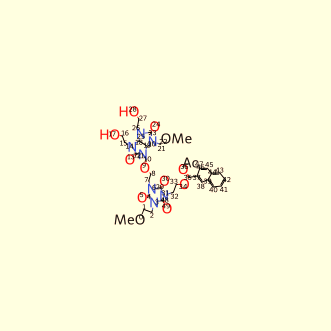 COCCn1c(=O)n(CCOCN2C(=O)N(CCO)C3C2N(COC)C(=O)N3CCO)c(=O)n(CCOC(=O)c2cc3ccccc3cc2C(C)=O)c1=O